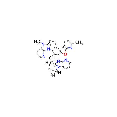 [2H]C([2H])([2H])N1c2cccnc2N(c2c(C)c(N3c4ncccc4N(C)[C@H]3C)cc3c2oc2nc(C)ccc23)[C@H]1C